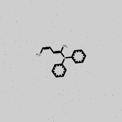 C/C=C\C=C(/C)N(c1ccccc1)c1ccccc1